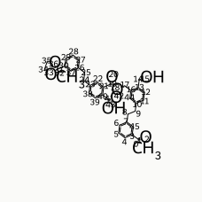 CC(=O)c1cccc(CCc2ccc(CO)c(COC(=O)c3cc(CCc4cccc(C5(C)OCCO5)c4)ccc3C(=O)O)c2)c1